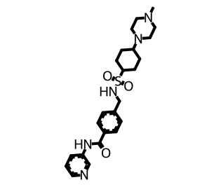 CN1CCN(C2CCC(S(=O)(=O)NCc3ccc(C(=O)Nc4cccnc4)cc3)CC2)CC1